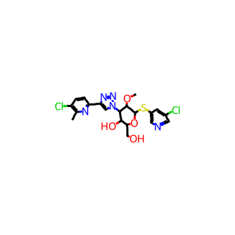 COC1C(Sc2cncc(Cl)c2)OC(CO)C(O)C1n1cc(-c2ccc(Cl)c(C)n2)nn1